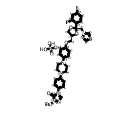 CCC(C)n1ncn(-c2ccc(N3CCN(c4ccc(OC[C@H]5CO[C@](Cn6cncn6)(c6ccc(F)cc6F)O5)cc4)CC3)cc2)c1=O.O=P(O)(O)O